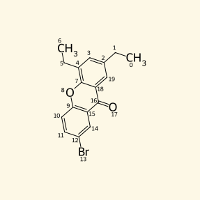 CCc1cc(CC)c2oc3ccc(Br)cc3c(=O)c2c1